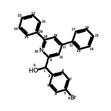 OC(c1ccc(Br)cc1)c1cc(-c2ccccc2)cc(-c2ccccc2)n1